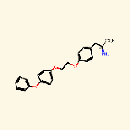 N[C@@H](Cc1ccc(OCCOc2ccc(Oc3ccccc3)cc2)cc1)C(=O)O